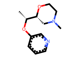 C[C@@H](Oc1cccnc1)[C@H]1CN(C)CCO1